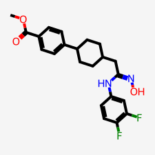 COC(=O)c1ccc(C2CCC(C/C(=N/O)Nc3ccc(F)c(F)c3)CC2)cc1